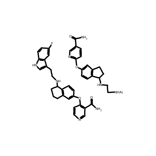 CC(=O)NCCNC1CCc2cc(Oc3ccc(C(N)=O)cn3)ccc21.NC(=O)c1cnccc1Oc1ccc2c(c1)CCCC2NCCc1c[nH]c2ccc(F)cc12